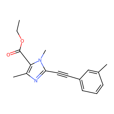 CCOC(=O)c1c(C)nc(C#Cc2cccc(C)c2)n1C